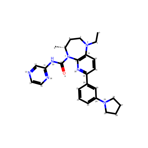 CCN1CC[C@@H](C)N(C(=O)Nc2cnccn2)c2nc(-c3cccc(N4CCCC4)c3)ccc21